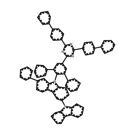 c1ccc(-c2ccc(-c3nc(-c4ccc(-c5ccccc5)cc4)nc(-c4cc(-c5ccccc5)c(-n5c6ccc(-n7c8ccccc8c8ccccc87)cc6c6ccc(-c7ccccc7)cc65)c(-c5ccccc5)c4)n3)cc2)cc1